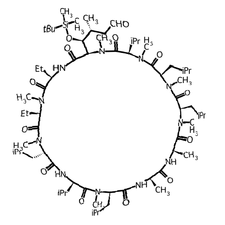 CC[C@@H]1C(=O)N(C)[C@@H](CC(C)C)C(=O)N[C@H](C(C)C)C(=O)N(C)[C@H](CC(C)C)C(=O)N[C@H](C)C(=O)N[C@H](C)C(=O)N(C)[C@H](CC(C)C)C(=O)N(C)[C@H](CC(C)C)C(=O)N(C)[C@H](C(C)C)C(=O)N(C)[C@H]([C@@H](O[Si](C)(C)C(C)(C)C)[C@H](C)CC=O)C(=O)N[C@H](CC)C(=O)N1C